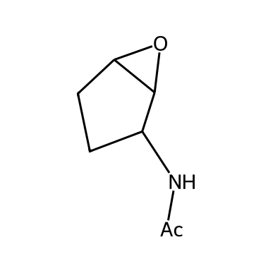 CC(=O)NC1CCC2OC12